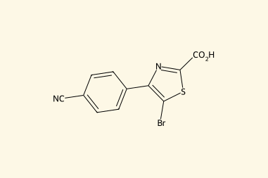 N#Cc1ccc(-c2nc(C(=O)O)sc2Br)cc1